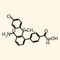 C[C@H](c1ccc(Cl)cc1)c1c(C(N)=O)cccc1-c1ccc(C(=O)NO)cc1